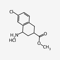 COC(=O)C1Cc2ccc(Cl)cc2C(N)C1.Cl